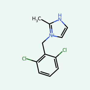 Cc1[nH]cc[n+]1Cc1c(Cl)cccc1Cl